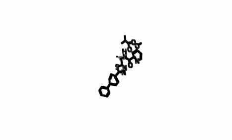 COc1ccnc(C(=O)N[C@@H](C)c2nnc(-c3ccc(-c4ccccc4)cc3)s2)c1OC(=O)C(C)C